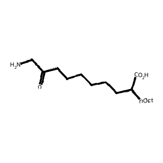 CCCCCCCCC(CCCCCCC(=O)CN)C(=O)O